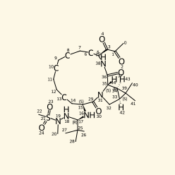 CC(=O)C(=O)[C@@H]1CCCCCCCCC[C@H](N[C@H](NN(C)S(C)(=O)=O)C(C)(C)C)C(=O)N2C[C@H]3[C@@H]([C@H]2C(=O)N1)C3(C)C